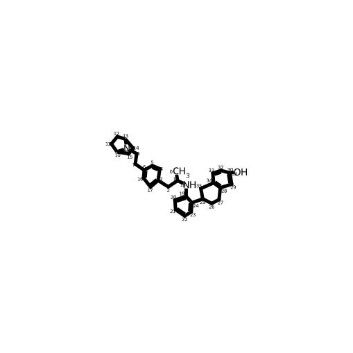 CC(Cc1ccc(CCN2C3CCC2CC3)cc1)Nc1ccccc1C1CCc2cc(O)ccc2C1